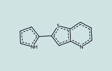 c1c[nH]c(-c2cc3ncccc3s2)c1